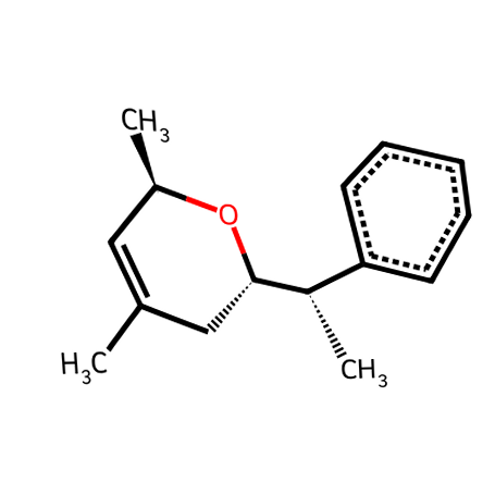 CC1=C[C@@H](C)O[C@H]([C@@H](C)c2ccccc2)C1